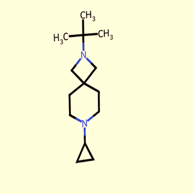 CC(C)(C)N1CC2(CCN(C3CC3)CC2)C1